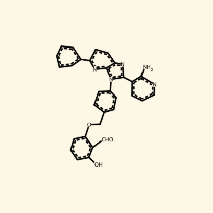 Nc1ncccc1-c1nc2ccc(-c3ccccc3)nc2n1-c1ccc(COc2cccc(O)c2C=O)cc1